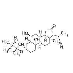 C[C@H](C#N)[C@H]1C(=O)C[C@H]2[C@@H]3C[C@H](O)[C@H]4C[C@@H](O[Si](C)(C)C(C)(C)C)CC[C@]4(C)[C@H]3CC[C@]12C